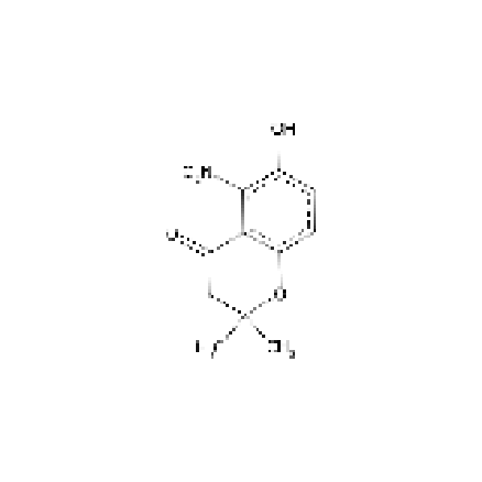 CC1(C)CC(=O)c2c(ccc(O)c2[N+](=O)[O-])O1